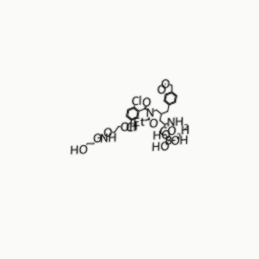 CCC(=O)N(CC(Cc1ccc2c(c1)OOC2)C[C@@H](N)C(=O)O)C(=O)c1cc(Cl)ccc1Cl.OB(O)O.OCCONOCCO